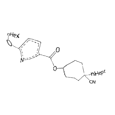 CCCCCCCC1(C#N)CCC(OC(=O)c2ccc(OCCCCCC)nc2)CC1